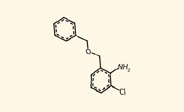 Nc1c(Cl)cccc1COCc1ccccc1